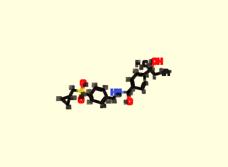 CC(C)CC(O)(c1ccc(C(=O)NCc2ccc(S(=O)(=O)CC3CC3)cc2)cc1)C(F)(F)F